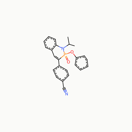 CC(C)N1c2ccccc2C=C(c2ccc(C#N)cc2)P1(=O)Oc1ccccc1